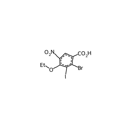 CCOc1c([N+](=O)[O-])cc(C(=O)O)c(Br)c1I